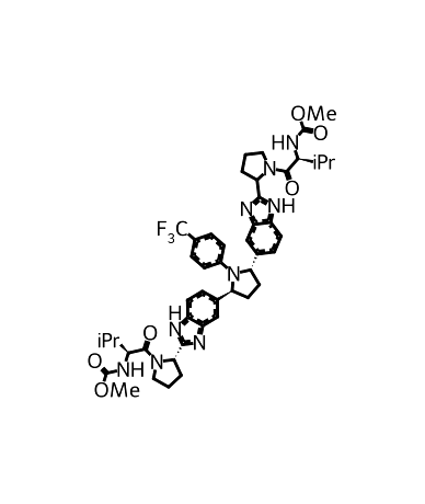 COC(=O)N[C@H](C(=O)N1CCCC1c1nc2cc([C@@H]3CC[C@@H](c4ccc5[nH]c([C@@H]6CCCN6C(=O)[C@@H](NC(=O)OC)C(C)C)nc5c4)N3c3ccc(C(F)(F)F)cc3)ccc2[nH]1)C(C)C